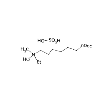 CCCCCCCCCCCCCCCC[N+](C)(O)CC.O=S(=O)(O)O